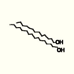 CCCCCCCCCCCCCCCCO.CCCCCCCCCCCCCO